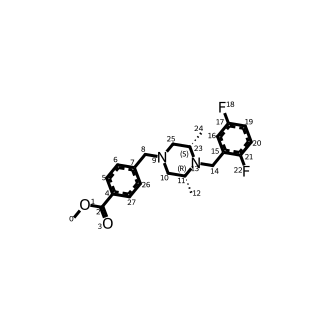 COC(=O)c1ccc(CN2C[C@@H](C)N(Cc3cc(F)ccc3F)[C@@H](C)C2)cc1